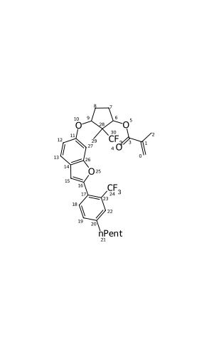 C=C(C)C(=O)OC1CCC(Oc2ccc3cc(-c4ccc(CCCCC)cc4C(F)(F)F)oc3c2)C1(C)C(F)(F)F